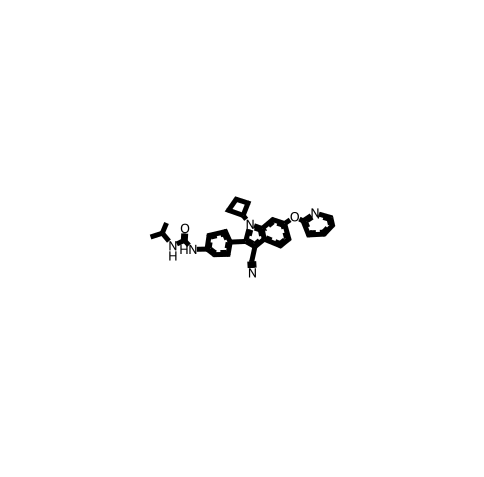 CC(C)NC(=O)Nc1ccc(-c2c(C#N)c3ccc(Oc4ccccn4)cc3n2C2CCC2)cc1